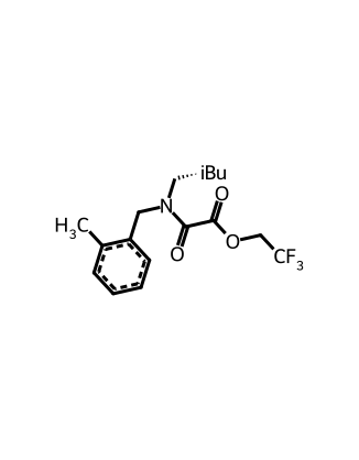 CC[C@@H](C)CN(Cc1ccccc1C)C(=O)C(=O)OCC(F)(F)F